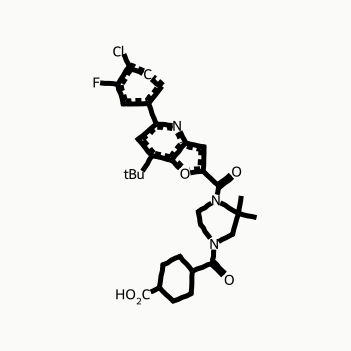 CC(C)(C)c1cc(-c2ccc(Cl)c(F)c2)nc2cc(C(=O)N3CCN(C(=O)C4CCC(C(=O)O)CC4)CC3(C)C)oc12